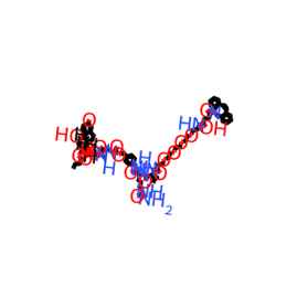 CCCC1O[C@@H]2C[C@H]3[C@@H]4CCC5=CC(=O)C=C[C@]5(C)[C@H]4[C@@H](O)C[C@]3(C)[C@]2(C(=O)COCN(C)C(=O)[C@H](C)NC(=O)OCc2ccc(NC(=O)[C@H](CCCNC(N)=O)NC(=O)[C@@H](NC(=O)CCOCCOCCOCCOCCNC(O)CCC(=O)N3Cc4ccccc4C#Cc4ccccc43)C(C)C)cc2)O1